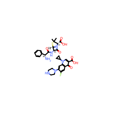 CC1(C)S[C@@H]2[C@H](NC(=O)[C@H](N)c3ccccc3)C(=O)N2[C@H]1C(=O)O.O=C(O)c1cn(C2CC2)c2cc(N3CCNCC3)c(F)cc2c1=O